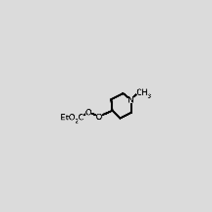 CCOC(=O)OOC1CCN(C)CC1